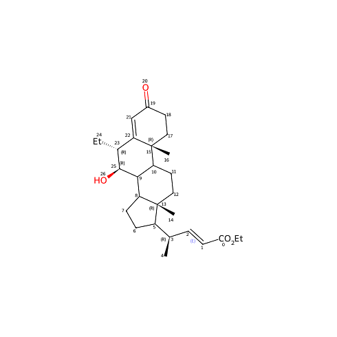 CCOC(=O)/C=C/[C@@H](C)C1CCC2C3C(CC[C@@]21C)[C@@]1(C)CCC(=O)C=C1[C@@H](CC)[C@@H]3O